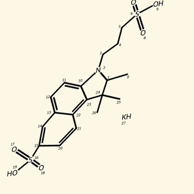 CC1N(CCCS(=O)(=O)O)c2ccc3cc(S(=O)(=O)O)ccc3c2C1(C)C.[KH]